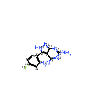 Nc1nc(N)c2c(-c3ccc(F)cc3)[nH]nc2n1